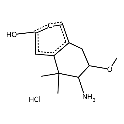 COC1Cc2ccc(O)cc2C(C)(C)C1N.Cl